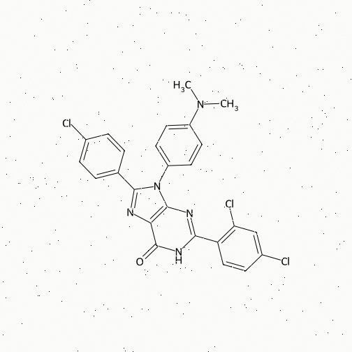 CN(C)c1ccc(-n2c(-c3ccc(Cl)cc3)nc3c(=O)[nH]c(-c4ccc(Cl)cc4Cl)nc32)cc1